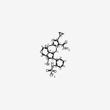 CCc1nc(C2CC2)c(C(N)=O)n1Cc1c2ccocc-2c(Br)c1-c1ccccc1NS(=O)(=O)C(F)(F)F